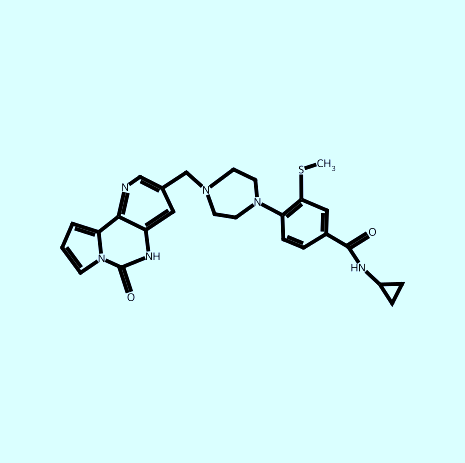 CSc1cc(C(=O)NC2CC2)ccc1N1CCN(Cc2cnc3c(c2)[nH]c(=O)n2cccc32)CC1